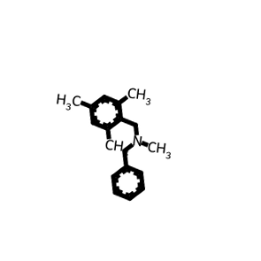 Cc1cc(C)c(CN(C)Cc2ccccc2)c(C)c1